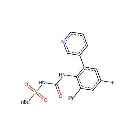 CCCCS(=O)(=O)NC(=O)Nc1c(-c2cccnc2)cc(F)cc1C(C)C